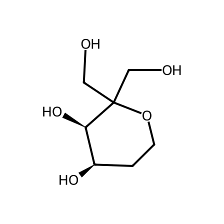 OCC1(CO)OCC[C@@H](O)[C@H]1O